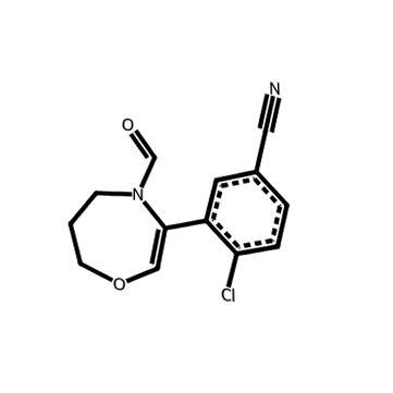 N#Cc1ccc(Cl)c(C2=COCCCN2C=O)c1